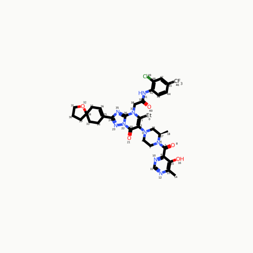 CCc1c(N2CCN(C(=O)c3ncnc(C)c3O)[C@H](C)C2)c(=O)n2nc(C3=CCC4(CCCO4)CC3)nc2n1CC(=O)Nc1ccc(C(F)(F)F)cc1Cl